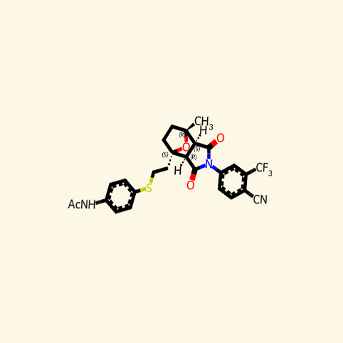 CC(=O)Nc1ccc(SCC[C@]23CC[C@@](C)(O2)[C@H]2C(=O)N(c4ccc(C#N)c(C(F)(F)F)c4)C(=O)[C@H]23)cc1